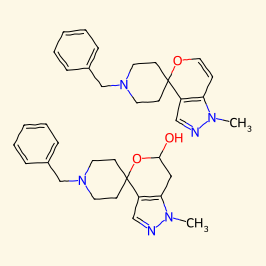 Cn1ncc2c1C=COC21CCN(Cc2ccccc2)CC1.Cn1ncc2c1CC(O)OC21CCN(Cc2ccccc2)CC1